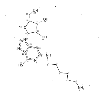 NCCCCCCNc1nc(S)c2ncn([C@@H]3O[C@H](CO)[C@H](O)C3O)c2n1